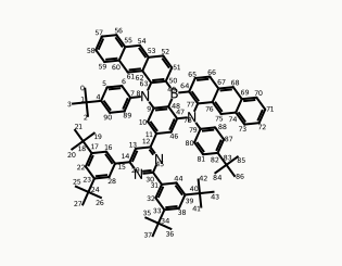 CC(C)(C)c1ccc(N2c3cc(-c4cc(-c5cc(C(C)(C)C)cc(C(C)(C)C)c5)nc(-c5cc(C(C)(C)C)cc(C(C)(C)C)c5)n4)cc4c3B(c3ccc5cc6ccccc6cc5c32)c2ccc3cc5ccccc5cc3c2N4c2ccc(C(C)(C)C)cc2)cc1